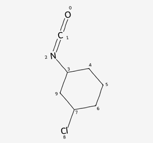 O=C=NC1CCCC(Cl)C1